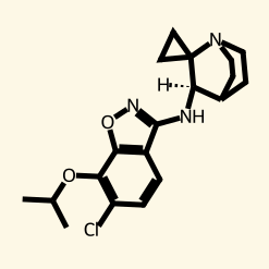 CC(C)Oc1c(Cl)ccc2c(N[C@@H]3C4CCN(CC4)C34CC4)noc12